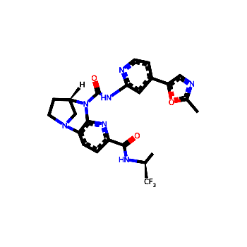 Cc1ncc(-c2ccnc(NC(=O)N3c4nc(C(=O)N[C@@H](C)C(F)(F)F)ccc4N4CC[C@H]3C4)c2)o1